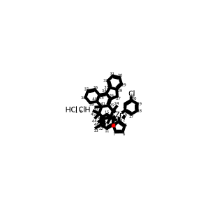 Cl.Cl.[CH2]=[Zr]([C]1=CC=CC1)([c]1ccc(C)cc1)([c]1cccc(Cl)c1)[C]1(C)C2=C3Cc4ccccc4C3=C3C=CCCC3C2(C)C(C)(C)C(C)(C)C1(C)C